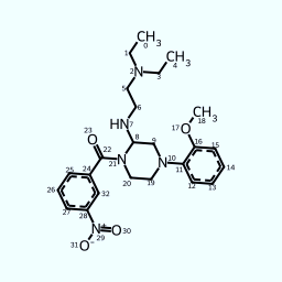 CCN(CC)CCNC1CN(c2ccccc2OC)CCN1C(=O)c1cccc([N+](=O)[O-])c1